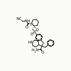 N#CCNC(=O)[C@H]1CCCC[C@@H]1CS(=O)(=O)c1ccc(SC(Cc2ccccc2)(C(N)=O)C2CCNCC2)cc1